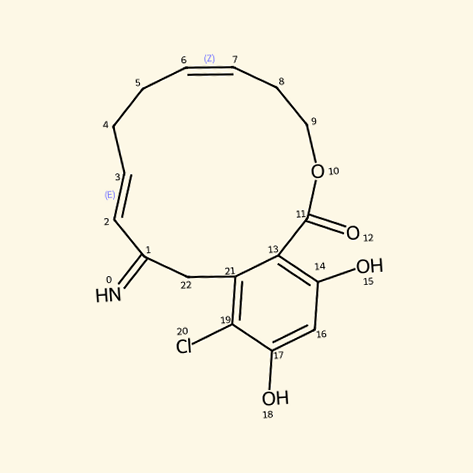 N=C1/C=C/CC/C=C\CCOC(=O)c2c(O)cc(O)c(Cl)c2C1